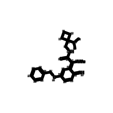 CN/C(C(=O)NCC1(N(C)C)CCC1)=C1/C=C(OCc2ccccc2)C=CC1=N